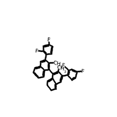 Cc1c(-c2ccc(F)cc2F)cc2c(c1-c1c(C)c(-c3ccc(F)cc3F)cc3ccccc13)=CCCC=2